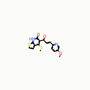 COc1ccc(C=CC(=O)c2c(SC)c3ccsc3[nH]c2=O)nc1